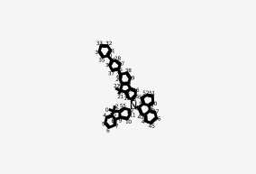 CC1(C)c2ccccc2-c2ccc(N(c3ccc4c(c3)C(C)(C)c3cc(-c5ccc(-c6ccccc6)cc5)ccc3-4)c3cc4ccccc4c4ccccc34)cc21